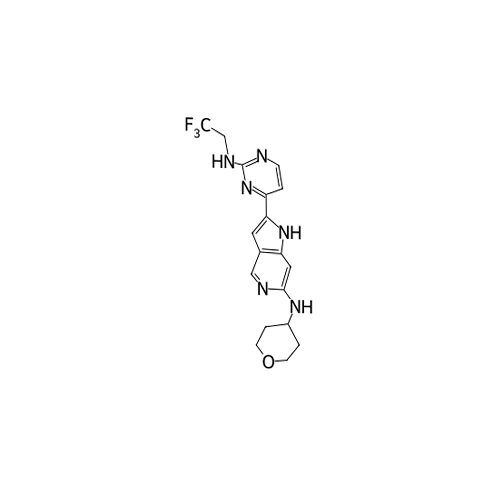 FC(F)(F)CNc1nccc(-c2cc3cnc(NC4CCOCC4)cc3[nH]2)n1